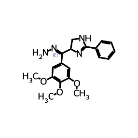 COc1cc(/C(=N\N)C2CNC(c3ccccc3)=N2)cc(OC)c1OC